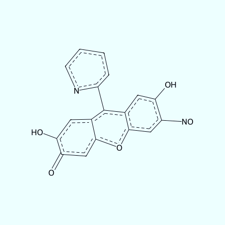 O=Nc1cc2oc3cc(=O)c(O)cc-3c(-c3ccccn3)c2cc1O